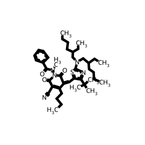 CCCCC1=C(C#N)C(=O)N(N(C)C(=O)c2ccccc2)C(=O)/C1=C\c1sc(N(CC(CC)CCCC)CC(CC)CCCC)nc1C(C)(C)C